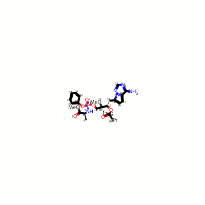 COC(=O)[C@H](C)NP(=O)(OC[C@@](C#N)(OC)[C@H](Cc1ccc2c(N)ncnn12)OC(=O)C(C)C)Oc1ccccc1